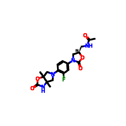 CC(=O)NC[C@H]1CN(c2ccc(N3CC4(C)NC(=O)OC4(C)C3)c(F)c2)C(=O)O1